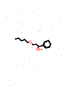 CCCCCOCCC(O)c1ccccc1